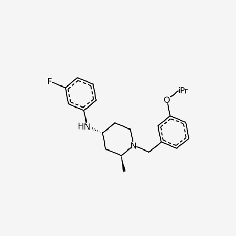 CC(C)Oc1cccc(CN2CC[C@@H](Nc3cccc(F)c3)C[C@@H]2C)c1